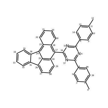 Cc1ccc(-c2nc(-c3ccc(C)cc3)nc(-c3c4ccccc4c4c5c(cccc35)-c3ccccc3-4)n2)cc1